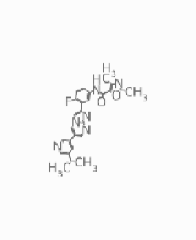 Cc1nc(C)c(C(=O)Nc2ccc(F)c(-c3cn4cc(-c5cncc(C(C)C)c5)cnc4n3)c2)o1